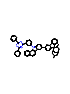 CC1CC2CC(C)C3(c4ccccc4-c4cc(-c5ccc6c(c5)c5ccc7ccccc7c5n6-c5cccc(-c6nc(-c7ccccc7)nc(-c7ccccc7)n6)c5)ccc43)C(C1)C2